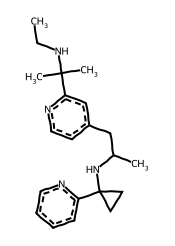 CCNC(C)(C)c1cc(CC(C)NC2(c3ccccn3)CC2)ccn1